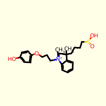 CC1=[N+](CCCOc2ccc(O)cc2)c2ccccc2C1(C)CCCCS(=O)O